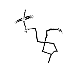 CC1CCC(CN)(CCNS(C)(=O)=O)C1